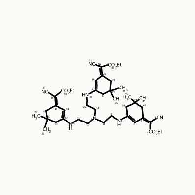 CCOC(=O)/C(C#N)=C1\C=C(NCCN(CCNC2=C/C(=C(/C#N)C(=O)OCC)CC(C)(C)C2)CCNC2=C/C(=C(\C#N)C(=O)OCC)CC(C)(C)C2)CC(C)(C)C1